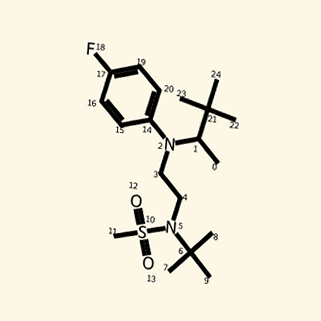 CC(N(CCN(C(C)(C)C)S(C)(=O)=O)c1ccc(F)cc1)C(C)(C)C